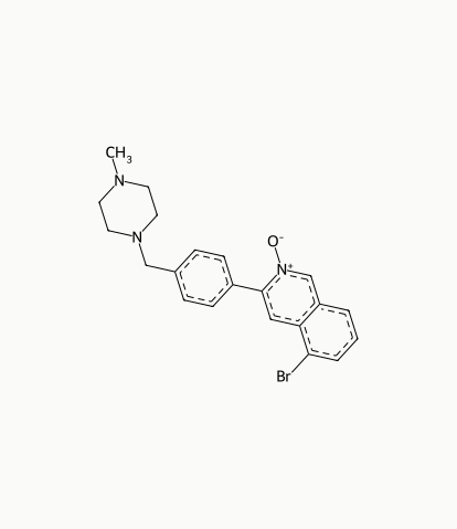 CN1CCN(Cc2ccc(-c3cc4c(Br)cccc4c[n+]3[O-])cc2)CC1